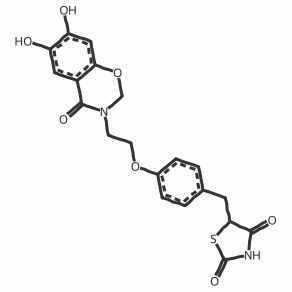 O=C1NC(=O)C(Cc2ccc(OCCN3COc4cc(O)c(O)cc4C3=O)cc2)S1